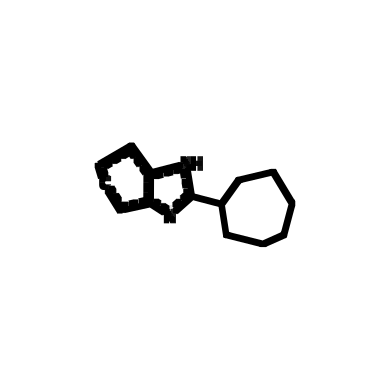 c1ccc2[nH]c(C3CCCCCC3)nc2c1